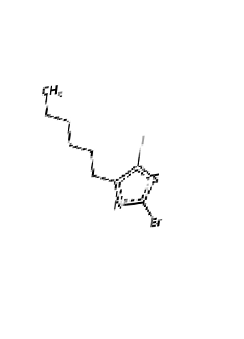 CCCCCCc1nc(Br)sc1I